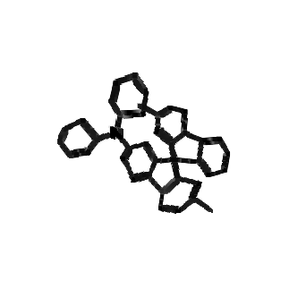 Cc1ccc2c(c1)C1(c3ccccc3-2)c2cc(C)ccc2-c2ccc(N(c3ccccc3)c3ccccc3)cc21